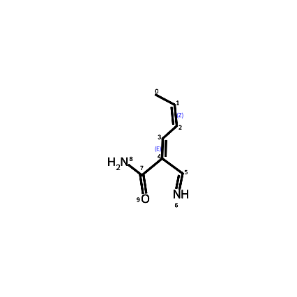 C/C=C\C=C(/C=N)C(N)=O